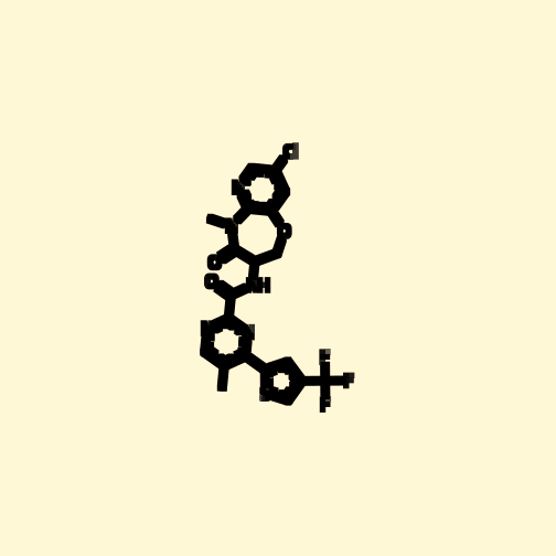 Cc1cnc(C(=O)NC2COc3cc(Cl)cnc3N(C)C2=O)nc1-c1cc(C(F)(F)F)cs1